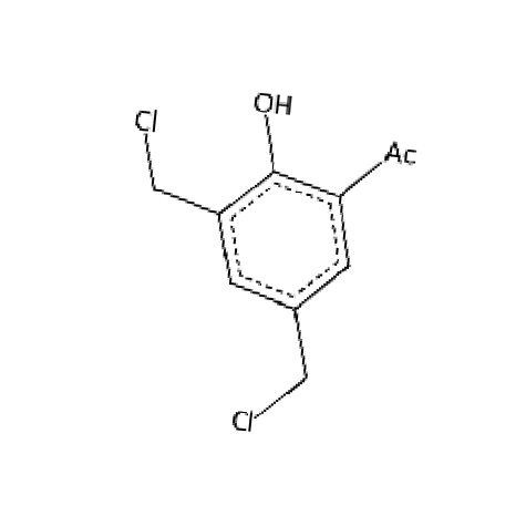 CC(=O)c1cc(CCl)cc(CCl)c1O